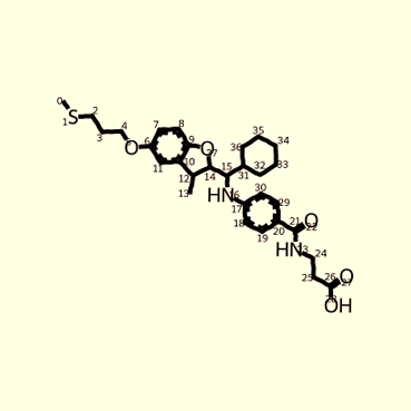 CSCCCOc1ccc2c(c1)C(C)C(C(Nc1ccc(C(=O)NCCC(=O)O)cc1)C1CCCCC1)O2